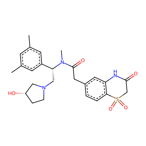 Cc1cc(C)cc([C@@H](CN2CC[C@H](O)C2)N(C)C(=O)Cc2ccc3c(c2)NC(=O)CS3(=O)=O)c1